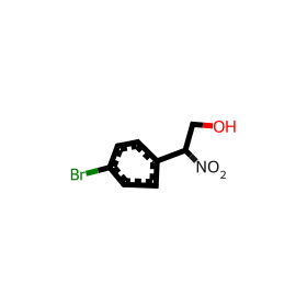 O=[N+]([O-])C(CO)c1ccc(Br)cc1